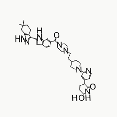 CC1(C)CCc2c(-c3cc4ccc(C(=O)N5CCN(CCC6CCN(c7cc(C8CCC(O)NC8=O)ccn7)CC6)CC5)cc4[nH]3)n[nH]c2C1